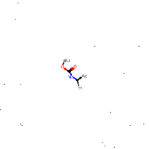 CC[C@@H](NC(=O)OC(C)(C)C)C(C)=O